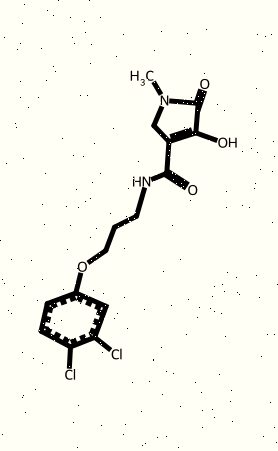 CN1CC(C(=O)NCCCOc2ccc(Cl)c(Cl)c2)=C(O)C1=O